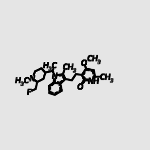 COc1cc(C)[nH]c(=O)c1CCc1c(C)n(C(C)C2CCN(C)C(CF)C2)c2ccccc12